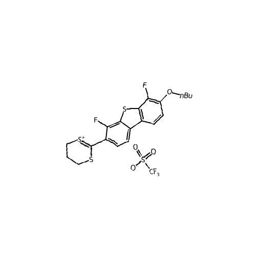 CCCCOc1ccc2c(sc3c(F)c(C4=[S+]CCCS4)ccc32)c1F.O=S(=O)([O-])C(F)(F)F